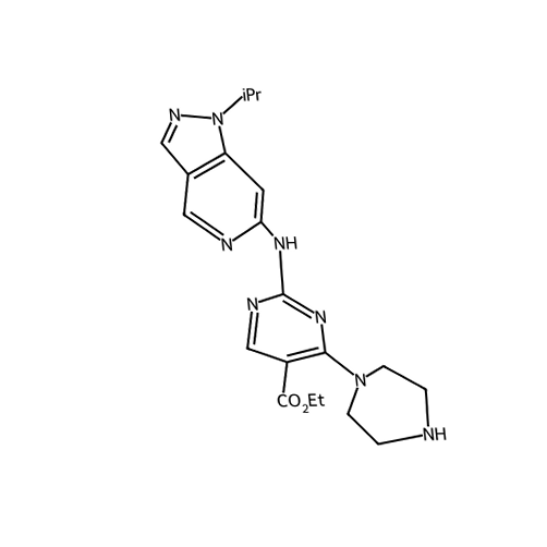 CCOC(=O)c1cnc(Nc2cc3c(cn2)cnn3C(C)C)nc1N1CCNCC1